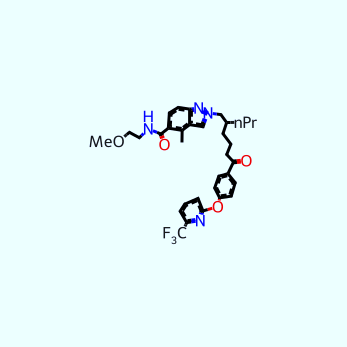 CCCC(CCCC(=O)c1ccc(Oc2cccc(C(F)(F)F)n2)cc1)Cn1cc2c(C)c(C(=O)NCCOC)ccc2n1